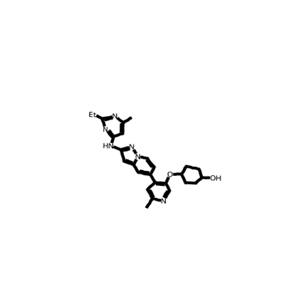 CCc1nc(C)cc(Nc2cc3cc(-c4cc(C)ncc4OC4CCC(O)CC4)ccn3n2)n1